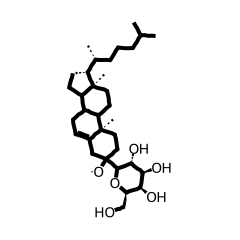 CC(C)CCC[C@@H](C)[C@H]1CCC2C3CC=C4CC([O])(C5O[C@H](CO)[C@H](O)[C@H](O)[C@H]5O)CC[C@]4(C)C3CC[C@@]21C